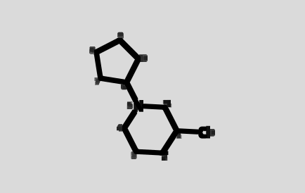 ClC1[CH]CCN(C2CCCC2)C1